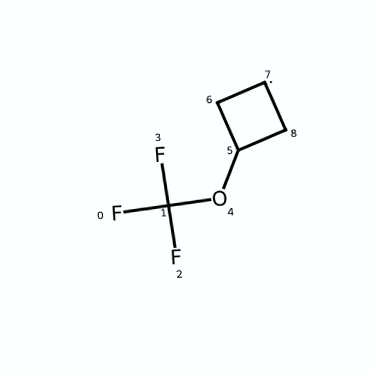 FC(F)(F)OC1C[CH]C1